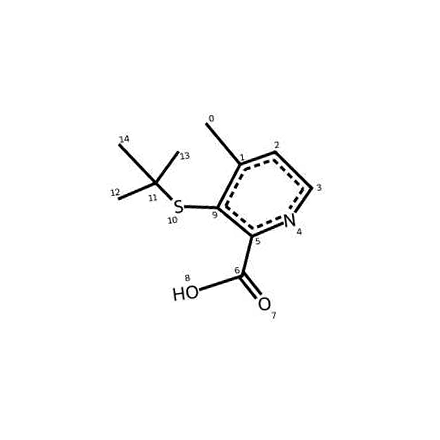 Cc1ccnc(C(=O)O)c1SC(C)(C)C